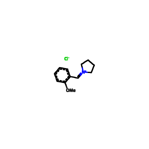 COc1ccccc1C=[N+]1CCCC1.[Cl-]